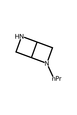 CCCN1CC2NCC21